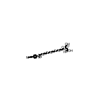 N#CC#Cc1ccc(-n2cc(COCCOCCOCCOCCOCCC(=O)NC(CC(=O)O)CC(=O)O)nn2)cc1